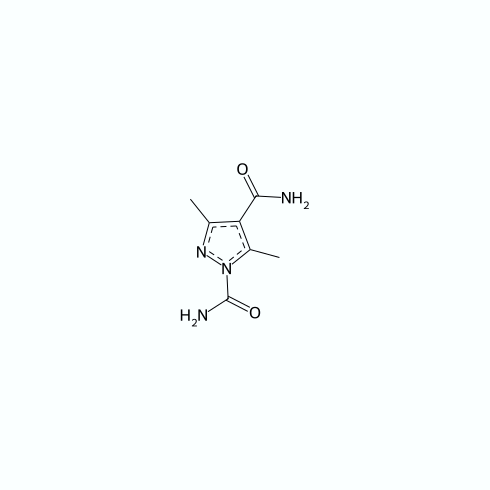 Cc1nn(C(N)=O)c(C)c1C(N)=O